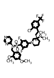 COc1ccc(CN(c2ccncn2)S(=O)(=O)c2c(F)cc(N3CCC[C@@](CCc4cc(C(F)(F)F)ccc4Cl)(N(C)C)C3)cc2F)c(OC)c1